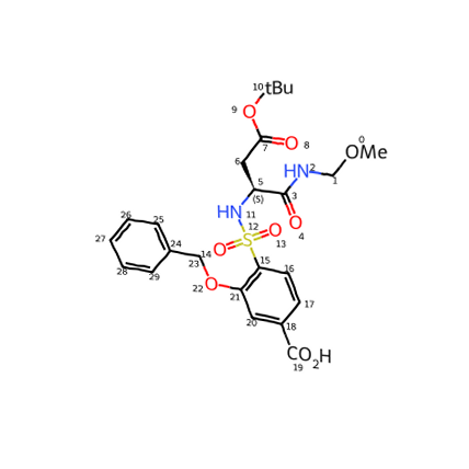 COCNC(=O)[C@H](CC(=O)OC(C)(C)C)NS(=O)(=O)c1ccc(C(=O)O)cc1OCc1ccccc1